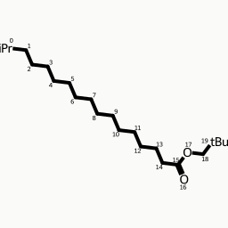 CC(C)CCCCCCCCCCCCCCC(=O)OCC(C)(C)C